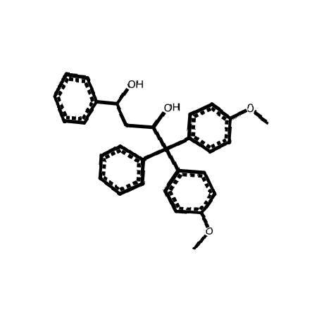 COc1ccc(C(c2ccccc2)(c2ccc(OC)cc2)C(O)CC(O)c2ccccc2)cc1